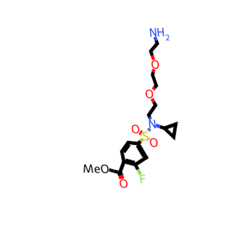 COC(=O)c1ccc(S(=O)(=O)N(CCOCCOCCN)C2CC2)cc1F